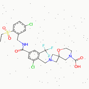 CCS(=O)(=O)c1ccc(Cl)cc1CNC(=O)c1cc(Cl)c(CN2CC3(C2)CN(C(=O)O)CCO3)c(C(F)(F)F)c1